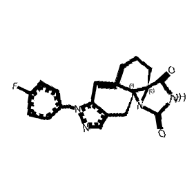 O=C1NC(=O)[C@@]23CCCC4=Cc5c(cnn5-c5ccc(F)cc5)C[C@@]42N13